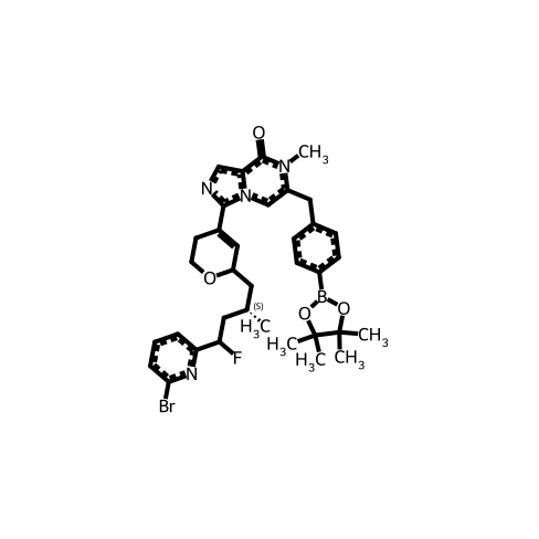 C[C@@H](CC1C=C(c2ncc3c(=O)n(C)c(Cc4ccc(B5OC(C)(C)C(C)(C)O5)cc4)cn23)CCO1)CC(F)c1cccc(Br)n1